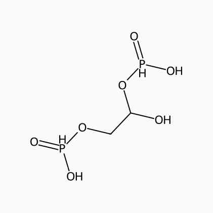 O=[PH](O)OCC(O)O[PH](=O)O